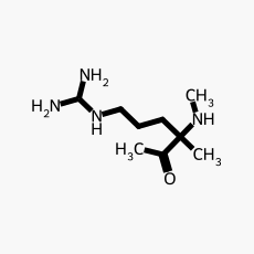 CNC(C)(CCCNC(N)N)C(C)=O